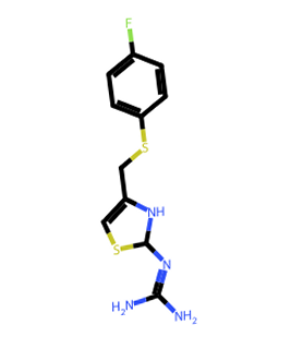 NC(N)=NC1NC(CSc2ccc(F)cc2)=CS1